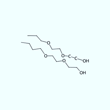 CCCCOCCOCCO.CCCOCCOCCO